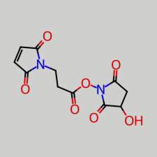 O=C(CCN1C(=O)C=CC1=O)ON1C(=O)CC(O)C1=O